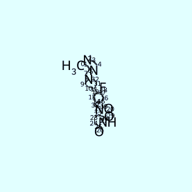 Cc1nccnc1CN1CCC(c2cc3c(cc2F)C(=O)N(C2CCC(=O)NC2=O)C3)CC1